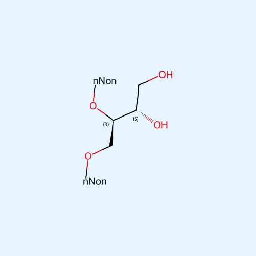 CCCCCCCCCOC[C@@H](OCCCCCCCCC)[C@@H](O)CO